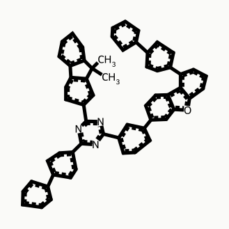 CC1(C)c2ccccc2-c2ccc(-c3nc(-c4ccc(-c5ccccc5)cc4)nc(-c4cccc(-c5ccc6c(c5)oc5cccc(-c7ccc(-c8ccccc8)cc7)c56)c4)n3)cc21